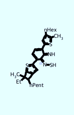 CCCCCCc1cc(C2=CC=C(c3cc4c(s3)C(C)(CC)C4CCCCC)/C(=N/S)C2=N)sc1C